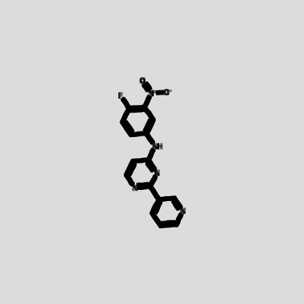 O=[N+]([O-])c1cc(Nc2ccnc(-c3cccnc3)n2)ccc1F